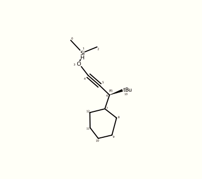 C[SiH](C)OC#C[C@H](C1CCCCC1)C(C)(C)C